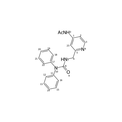 CC(=O)Nc1ccnc(CNC(=O)N(c2ccccc2)c2ccccc2)c1